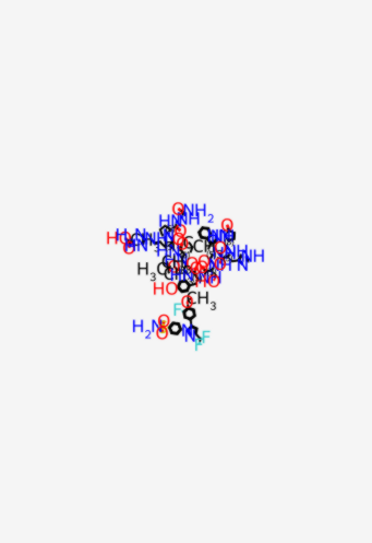 CC(=O)O.CC(C)C[C@H](NC(=O)[C@@H](COC(C)(C)C)NC(=O)[C@H](Cc1ccc(O)cc1)NC(=O)[C@H](CO)NC(=O)[C@H](Cc1c[nH]c2ccccc12)NC(=O)[C@H](Cc1c[nH]cn1)NC(=O)[C@@H]1CCC(=O)N1)C(=O)N[C@@H](CCCNC(=N)N)C(=O)N1CCC[C@H]1C(=O)NNC(N)=O.COc1ccc(-c2cc(C(F)F)nn2-c2ccc(S(N)(=O)=O)cc2)cc1F